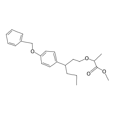 CCCC(CCOC(C)C(=O)OC)c1ccc(OCc2ccccc2)cc1